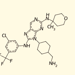 CC1(Nc2ncc3nc(Nc4cc(Cl)cc(C(F)(F)F)c4)n(C4CCC(CN)CC4)c3n2)CCOCC1